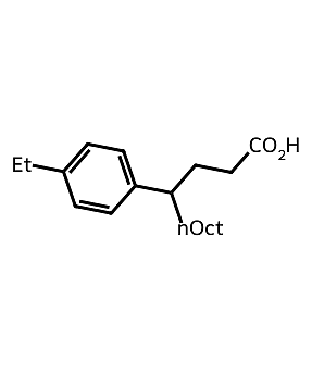 CCCCCCCCC(CCC(=O)O)c1ccc(CC)cc1